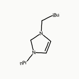 CCCN1C=CN(CC(C)CC)C1